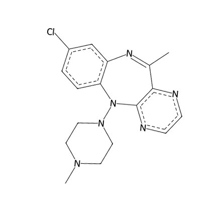 CC1=Nc2cc(Cl)ccc2N(N2CCN(C)CC2)c2nccnc21